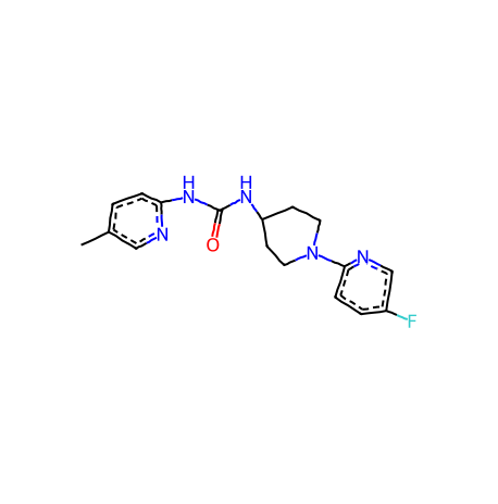 Cc1ccc(NC(=O)NC2CCN(c3ccc(F)cn3)CC2)nc1